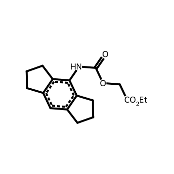 CCOC(=O)COC(=O)Nc1c2c(cc3c1CCC3)CCC2